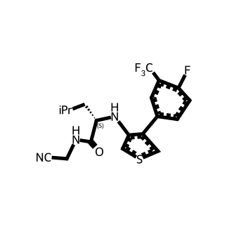 CC(C)C[C@H](Nc1cscc1-c1ccc(F)c(C(F)(F)F)c1)C(=O)NCC#N